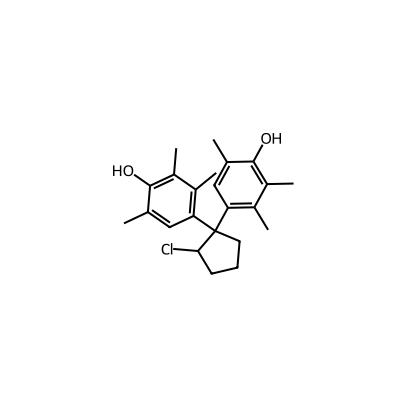 Cc1cc(C2(c3cc(C)c(O)c(C)c3C)CCCC2Cl)c(C)c(C)c1O